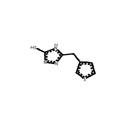 Sc1nnc(Cc2ccsc2)[nH]1